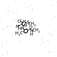 CNC(=O)c1ccc(C)c(Nc2nc(SC)nc(Cl)c2C#N)c1